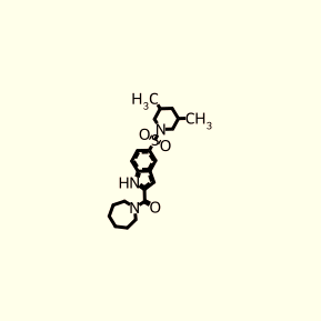 CC1CC(C)CN(S(=O)(=O)c2ccc3[nH]c(C(=O)N4CCCCCC4)cc3c2)C1